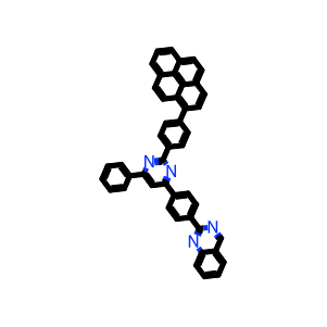 c1ccc(-c2cc(-c3ccc(-c4ncc5ccccc5n4)cc3)nc(-c3ccc(-c4ccc5ccc6cccc7ccc4c5c67)cc3)n2)cc1